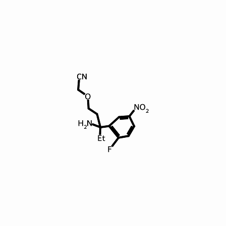 CCC(N)(CCOCC#N)c1cc([N+](=O)[O-])ccc1F